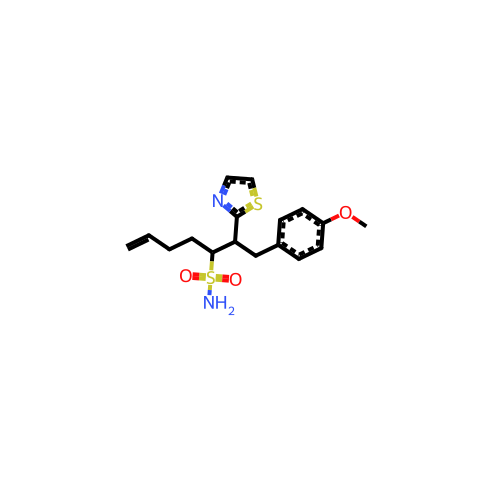 C=CCCC(C(Cc1ccc(OC)cc1)c1nccs1)S(N)(=O)=O